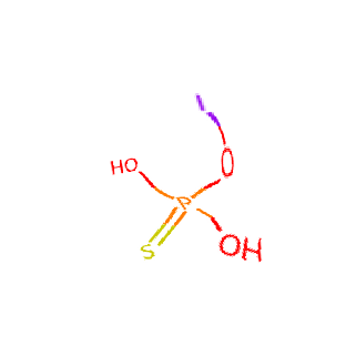 OP(O)(=S)OI